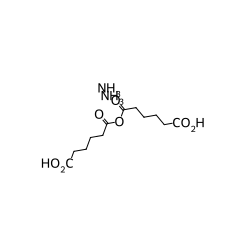 N.N.O=C(O)CCCCC(=O)OC(=O)CCCCC(=O)O